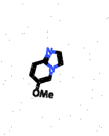 COc1ccc2nccn2c1